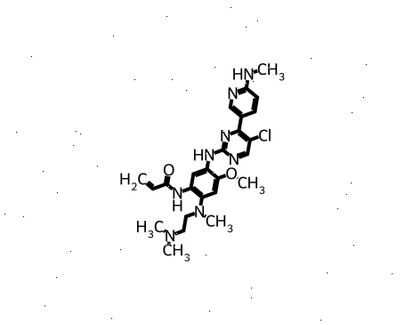 C=CC(=O)Nc1cc(Nc2ncc(Cl)c(-c3ccc(NC)nc3)n2)c(OC)cc1N(C)CCN(C)C